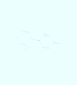 Cc1ncc(N2CCCN(C)S2(=O)=O)cn1